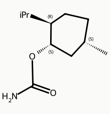 CC(C)[C@H]1CC[C@H](C)C[C@@H]1OC(N)=O